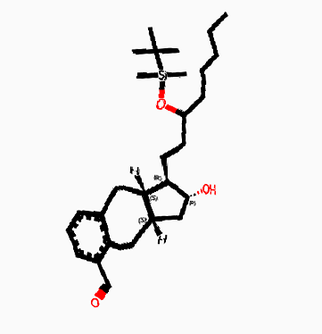 CCCCCC(CC[C@@H]1[C@H]2Cc3cccc(C=O)c3C[C@H]2C[C@H]1O)O[Si](C)(C)C(C)(C)C